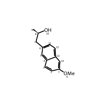 COc1ccc2cc(C[C@@H](C)O)ccc2c1